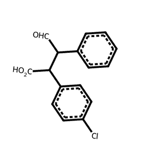 O=CC(c1ccccc1)C(C(=O)O)c1ccc(Cl)cc1